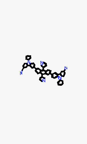 N#Cc1ccc2c(c1)c1cc(-c3ccc4c(-c5cccnc5)c5cc(-c6ccc7c(c6)c6cc(C#N)ccc6n7-c6ccccc6)ccc5c(-c5cccnc5)c4c3)ccc1n2-c1ccccc1